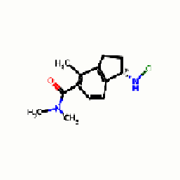 Cc1c(C(=O)N(C)C)ccc2c1CC[C@@H]2NCl